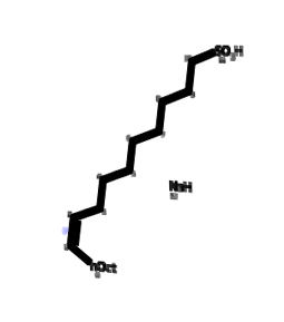 CCCCCCCC/C=C\CCCCCCCCS(=O)(=O)O.[NaH]